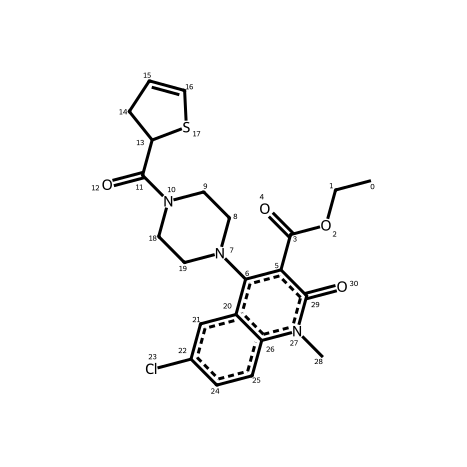 CCOC(=O)c1c(N2CCN(C(=O)C3CC=CS3)CC2)c2cc(Cl)ccc2n(C)c1=O